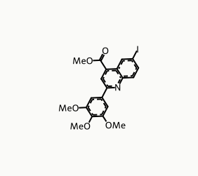 COC(=O)c1cc(-c2cc(OC)c(OC)c(OC)c2)nc2ccc(I)cc12